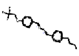 CCCCc1ccc(/C=N/N=C/c2ccc(OCC(F)(F)F)cc2)cc1